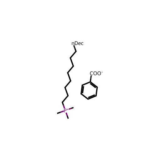 CCCCCCCCCCCCCCCCCC[P+](C)(C)C.O=C([O-])c1ccccc1